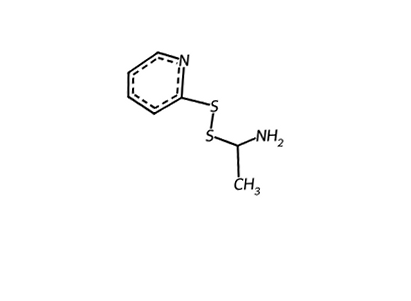 CC(N)SSc1ccccn1